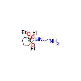 CCOC1(CCNCCN)CCCC[Si]1(OCC)OCC